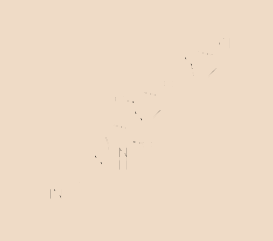 O=c1[nH]c(N2CCC3(CCNC3)CC2)ccc1-n1ccc(OCc2ccc(Cl)cn2)cc1=O